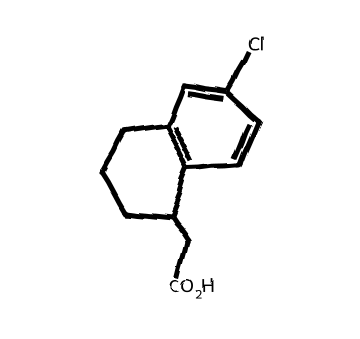 O=C(O)CC1CCCc2cc(Cl)ccc21